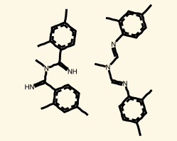 Cc1ccc(/N=C/N(C)/C=N/c2ccc(C)cc2C)c(C)c1.Cc1ccc(C(=N)N(C)C(=N)c2ccc(C)cc2C)c(C)c1